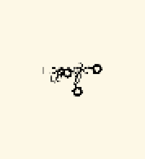 Cc1cc2cc(OC(F)(C(=O)OCc3ccccc3)C(=O)OCc3ccccc3)ccc2n1C